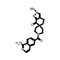 CC(C)(C)n1cc2c(n1)C(=O)C1(CC2)CCN(C(=O)c2ccc3c(N)nccc3c2)CC1